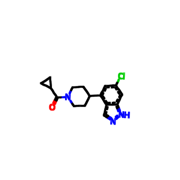 O=C(C1CC1)N1CCC(c2cc(Cl)cc3[nH]ncc23)CC1